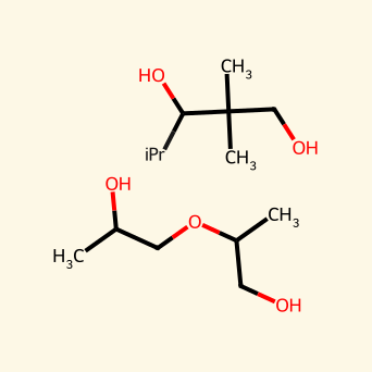 CC(C)C(O)C(C)(C)CO.CC(O)COC(C)CO